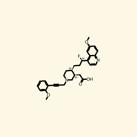 COc1ccc2nccc([C@H](F)CC[C@@H]3CCN(CC#Cc4ccccc4OC)C[C@@H]3CC(=O)O)c2c1